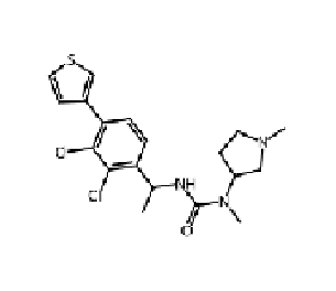 CC(NC(=O)N(C)C1CCN(C)C1)c1ccc(-c2ccsc2)c(Cl)c1Cl